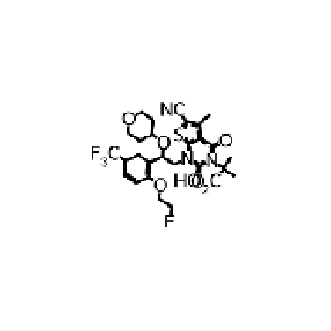 Cc1c(C#N)sc2c1c(=O)n(C(C)(C)C(=O)O)c(=O)n2CC(OC1CCOCC1)C1=C(OCCF)C=CC(C(F)(F)F)C1